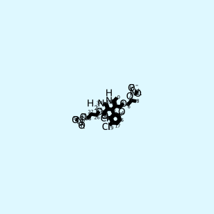 CC1=C(C(=O)OCC(C)O[N+](=O)[O-])C(c2cccc(Cl)c2Cl)C(C(=O)OCCCO[N+](=O)[O-])=C(N)N1